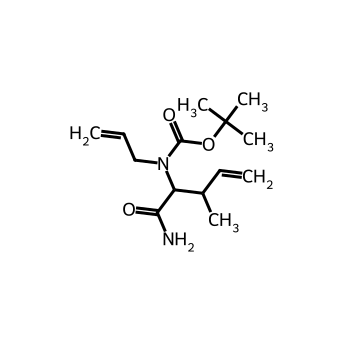 C=CCN(C(=O)OC(C)(C)C)C(C(N)=O)C(C)C=C